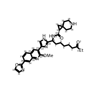 CCC(=O)CCCCCC(NC(=O)[C@H]1CC12CCNCC2)c1nc(-c2cc3ccc(-c4ncco4)cc3nc2OC)c[nH]1